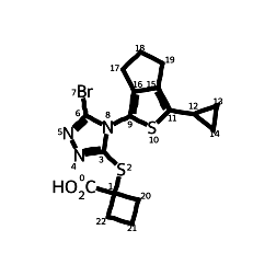 O=C(O)C1(Sc2nnc(Br)n2-c2sc(C3CC3)c3c2CCC3)CCC1